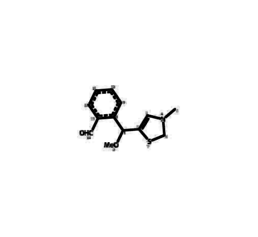 COC(C1=CN(C)CS1)c1ccccc1C=O